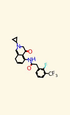 O=C(Cc1cccc(C(F)(F)F)c1F)NC1=C2C(=O)CN(C3CC3)C=C2CC=C1